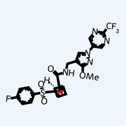 COc1nn(-c2cnc(C(F)(F)F)nc2)cc1CNC(=O)[C@@H]1C2CC(C2)N1S(=O)(=O)c1ccc(F)cc1